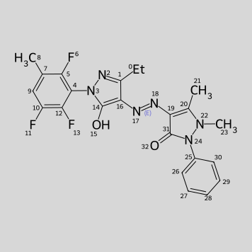 CCc1nn(-c2c(F)c(C)cc(F)c2F)c(O)c1/N=N/c1c(C)n(C)n(-c2ccccc2)c1=O